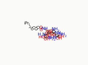 CC(C)CCCC(C)C1CCC2C3CC=C4CC(OC(=O)NCCSC[C@H]5O[C@@H](O[C@@H]6C(O)[C@H](N)CC(N)[C@H]6O[C@H]6CC(CN)[C@@H](O)[C@H](O)C6N)C(O)[C@H]5O[C@H]5OC(CN)[C@@H](O)C(O)[C@H]5N)CCC4(C)C3CCC12C